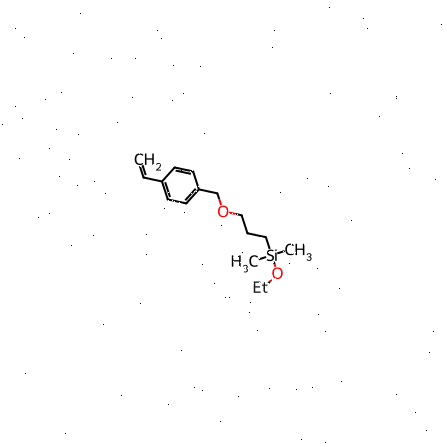 C=Cc1ccc(COCCC[Si](C)(C)OCC)cc1